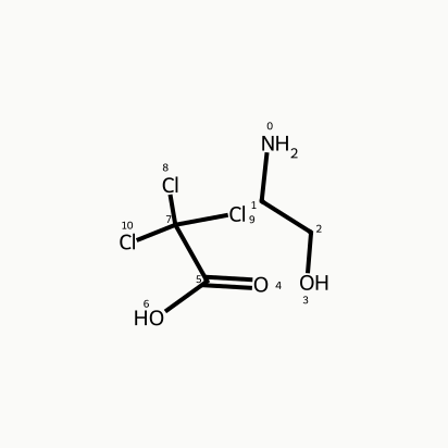 NCCO.O=C(O)C(Cl)(Cl)Cl